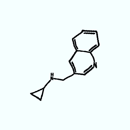 c1ccc2ncc(CNC3CC3)cc2c1